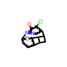 O=c1c(Cl)c2cnn1-c1ccc3c(c1)C1C3CC21